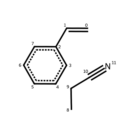 C=Cc1ccccc1.CCC#N